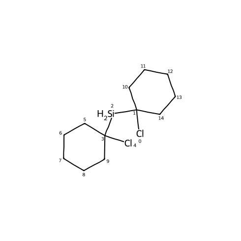 ClC1([SiH2]C2(Cl)CCCCC2)CCCCC1